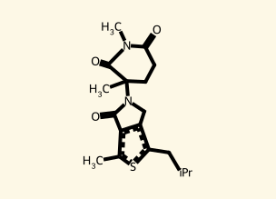 Cc1sc(CC(C)C)c2c1C(=O)N(C1(C)CCC(=O)N(C)C1=O)C2